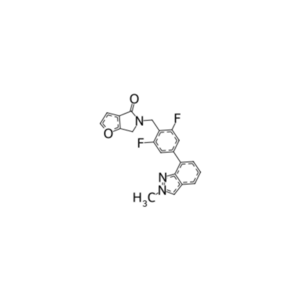 Cn1cc2cccc(-c3cc(F)c(CN4Cc5occc5C4=O)c(F)c3)c2n1